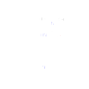 CN(C)C(=O)Nc1cc2c3c(c1)C(c1ccccc1)CCN3CCC2c1ccccc1